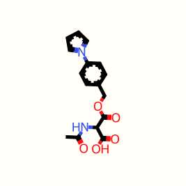 CC(=O)NC(C(=O)O)C(=O)OCc1ccc(-n2cccc2)cc1